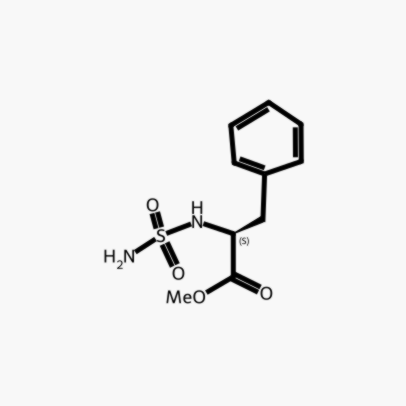 COC(=O)[C@H](Cc1ccccc1)NS(N)(=O)=O